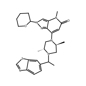 CC(c1ccc2ncsc2c1)N1C[C@H](C)N(c2cc(=O)n(C)c3cn(C4CCCCO4)nc23)C[C@H]1C